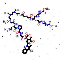 CCc1c2c(nc3ccccc13)-c1cc3c(c(=O)n1C2)COC(=O)[C@@]3(CC)OC(=O)[C@@H](NC(=O)[C@@H]1CCCN1C(=O)[C@H](CC(N)=O)NC(=O)CN(C)CCN(C)CCN(C)CCNC(=O)CCCC(=O)N[C@@H](CCC(=O)NCCNC(=O)OC(C)(C)C)C(=O)NCCNC(=O)OC(C)(C)C)C(C)C